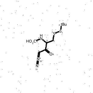 CC(C)(C)SSCC(NC(=O)O)C(=O)C=[N+]=[N-]